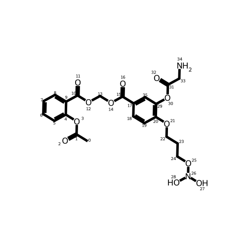 CC(=O)Oc1ccccc1C(=O)OCOC(=O)c1ccc(OCCCON(O)O)c(OC(=O)CN)c1